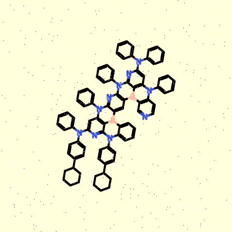 c1ccc(N(c2ccc(C3CCCCC3)cc2)c2cc3c4c(n2)N(c2ccc(C5CCCCC5)cc2)c2ccccc2B4c2cc4c(nc2N3c2ccccc2)N(c2ccccc2)c2nc(N(c3ccccc3)c3ccccc3)cc3c2B4c2cnccc2N3c2ccccc2)cc1